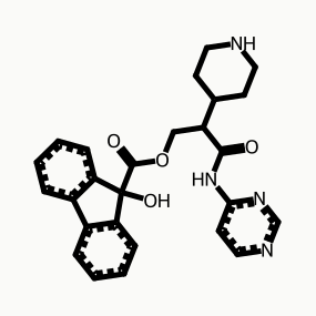 O=C(Nc1ccncn1)C(COC(=O)C1(O)c2ccccc2-c2ccccc21)C1CCNCC1